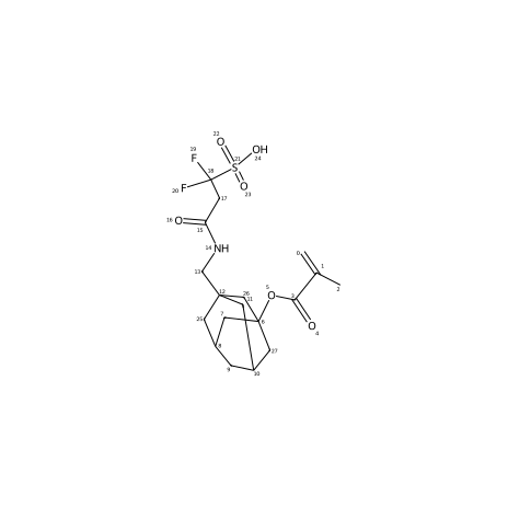 C=C(C)C(=O)OC12CC3CC(CC(CNC(=O)CC(F)(F)S(=O)(=O)O)(C3)C1)C2